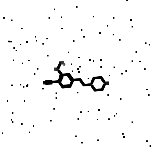 CNc1cc(CCN2CCNCC2)ccc1C#N